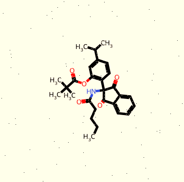 CCCCC(=O)NC1(c2ccc(C(C)C)cc2OC(=O)C(C)(C)C)C(=O)c2ccccc2C1=O